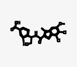 COc1cc2c(cc(C(=O)NC(CO)c3ccc(C(=O)O)cc3C)n2C)c(Cl)c1Cl